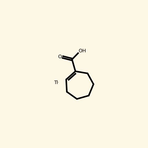 O=C(O)C1=CCCCCC1.[Tl]